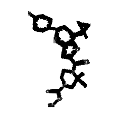 CC(C)(C)OC(=O)N1CCN(C(=O)c2cc3nc(-c4ccc(F)cc4)cc(C4(C)CC4)c3o2)C(C)(C)C1